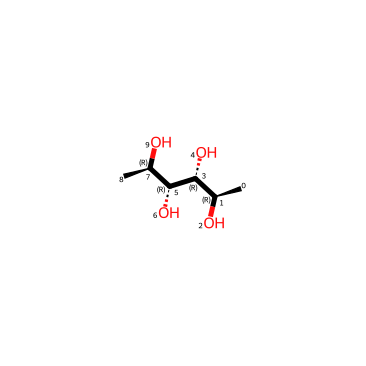 C[C@@H](O)[C@@H](O)[C@H](O)[C@@H](C)O